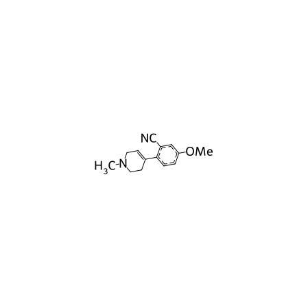 COc1ccc(C2=CCN(C)CC2)c(C#N)c1